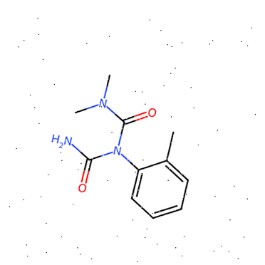 Cc1ccccc1N(C(N)=O)C(=O)N(C)C